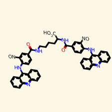 O=Nc1cc(C(=O)NCCCCC(NC(=O)c2ccc(Nc3c4ccccc4nc4ccccc34)c(N=O)c2)C(=O)O)ccc1Nc1c2ccccc2nc2ccccc12